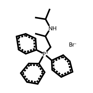 CC(C)NC(C)C[P+](c1ccccc1)(c1ccccc1)c1ccccc1.[Br-]